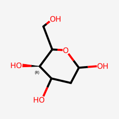 OCC1OC(O)CC(O)[C@H]1O